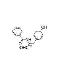 O=[C][C@H](Cc1ccc(O)cc1)NC(=O)c1cccnc1